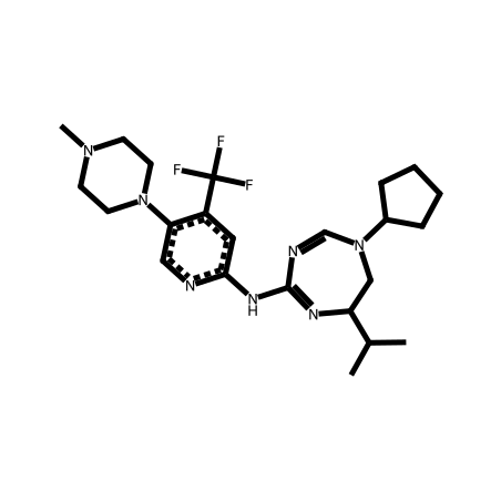 CC(C)C1CN(C2CCCC2)C=NC(Nc2cc(C(F)(F)F)c(N3CCN(C)CC3)cn2)=N1